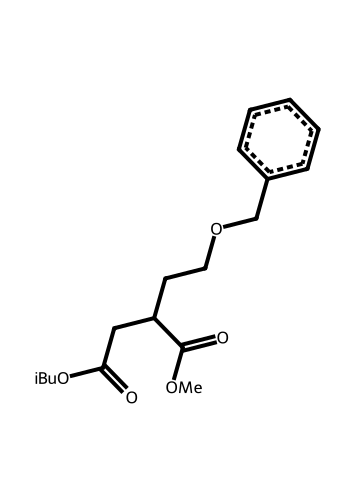 COC(=O)C(CCOCc1ccccc1)CC(=O)OCC(C)C